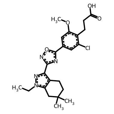 CCn1nc(-c2noc(-c3cc(Cl)c(CCC(=O)O)c(OC)c3)n2)c2c1CC(C)(C)CC2